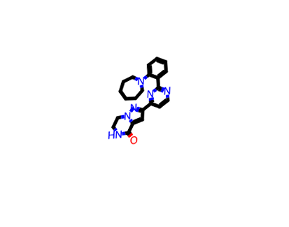 O=C1NCCn2nc(-c3ccnc(-c4ccccc4N4CCCCCC4)n3)cc21